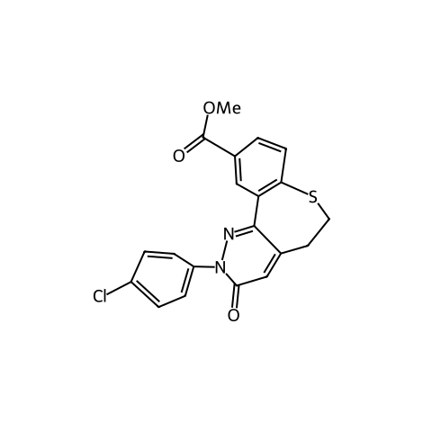 COC(=O)c1ccc2c(c1)-c1nn(-c3ccc(Cl)cc3)c(=O)cc1CCS2